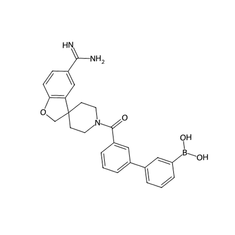 N=C(N)c1ccc2c(c1)C1(CCN(C(=O)c3cccc(-c4cccc(B(O)O)c4)c3)CC1)CO2